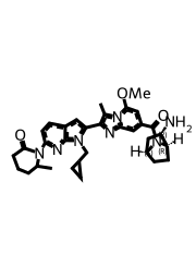 COc1cc(C(=O)N2[C@H]3CC[C@@H]2[C@H](N)C3)cc2nc(-c3cc4ccc(N5C(=O)CCCC5C)nc4n3CC3CC3)c(C)n12